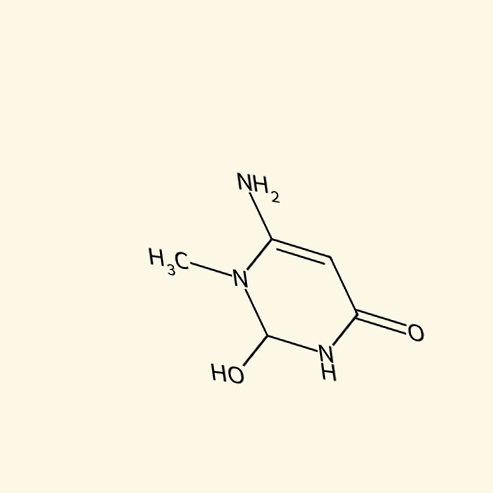 CN1C(N)=CC(=O)NC1O